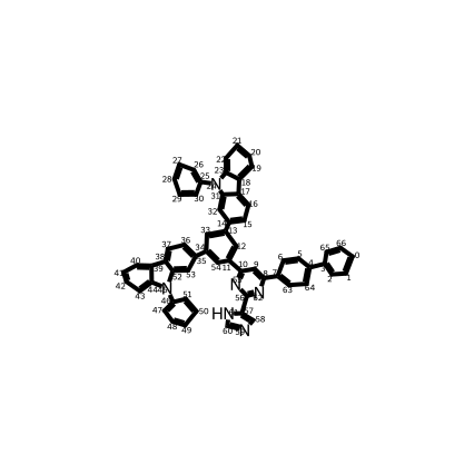 c1ccc(-c2ccc(-c3cc(-c4cc(-c5ccc6c7ccccc7n(-c7ccccc7)c6c5)cc(-c5ccc6c7ccccc7n(-c7ccccc7)c6c5)c4)nc(-c4cnc[nH]4)n3)cc2)cc1